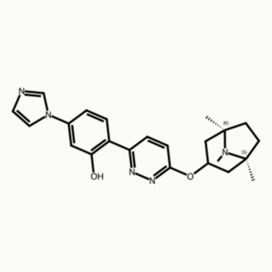 CN1[C@@]2(C)CC[C@]1(C)CC(Oc1ccc(-c3ccc(-n4ccnc4)cc3O)nn1)C2